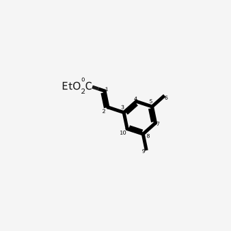 CCOC(=O)C=Cc1cc(C)cc(C)c1